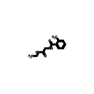 Cc1ccccc1C(=O)NCC(=O)NCC(F)(F)F